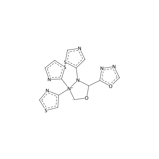 [CH]1OC(c2nnco2)N(c2cncs2)[N+]1(c1cscn1)c1nccs1